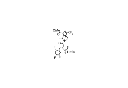 COC(=O)c1nc(C(F)(F)F)n2c1[C@@H](C)N(C(=O)CC(Cc1cc(F)c(F)cc1F)NC(=O)OC(C)(C)C)CC2